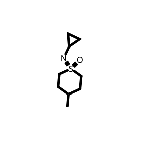 CC1CCS(=O)(=NC2CC2)CC1